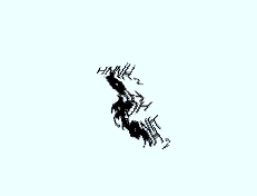 Cc1ncc(CNc2ccc(C(=N)N)cc2)c(CO)c1OCc1ccc(C(=N)N)cc1